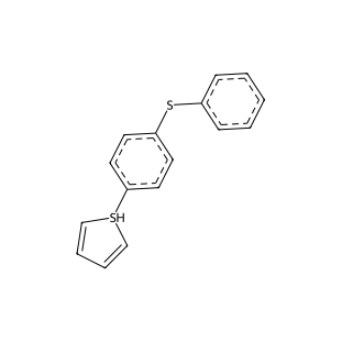 C1=C[SH](c2ccc(Sc3ccccc3)cc2)C=C1